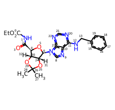 CCOC(=O)NC(=O)[C@H]1O[C@@H](n2cnc3c(NCc4ccccc4)ncnc32)[C@@H]2OC(C)(C)O[C@@H]21